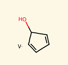 OC1C=CC=C1.[V]